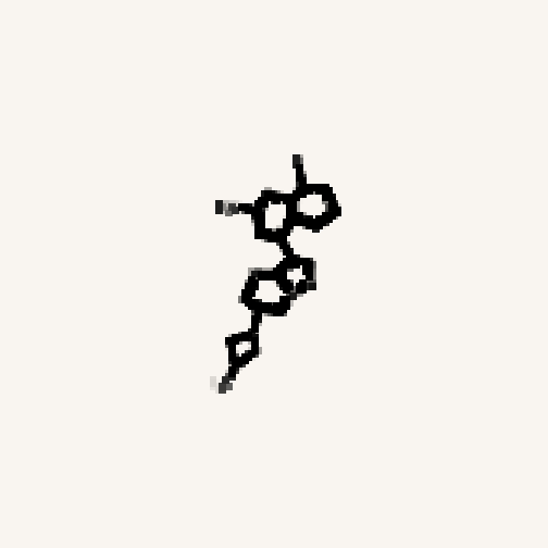 Cc1cc(-c2cnn3cc(N4CC(C)C4)cnc23)c2cccc(F)c2n1